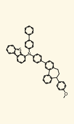 COc1ccc(C2CCc3ccc(-c4ccc(N(c5ccc(-c6ccccc6)cc5)c5cccc6c5sc5ccccc56)cc4)cc3-c3ccccc32)cc1